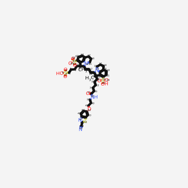 CC1(CCCCS(=O)(=O)O)C(/C=C/C=C2\N3CCCc4ccc(S(=O)(=O)O)c(c43)C2(C)CCCCCC(=O)NCCCOc2ccc3nc(C#N)sc3c2)=[N+]2CCCc3ccc(S(=O)(=O)[O-])c1c32